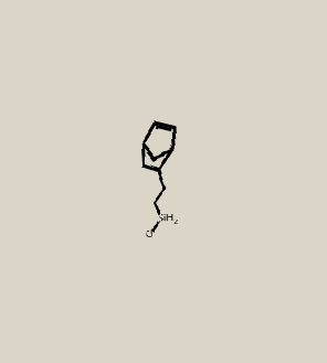 Cl[SiH2]CCC1CC2C=CC1C2